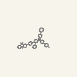 CC1C=CC(c2ccc(N(c3ccc(C4=CC=CC=C=C4)cc3)c3ccc(-c4ccc(C5=CCC6(C)C(=C5)C(C)(C)c5ccccc56)cc4)c(-c4ccccc4)c3)cc2)=CC1